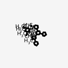 Cc1cnc(-c2cc(-c3ccccc3)cc(-c3cccc4c3nc(-c3cc(C(C)(C)C)cc(C(C)(C)C)c3O)n4C)c2)cc1-c1ccccc1